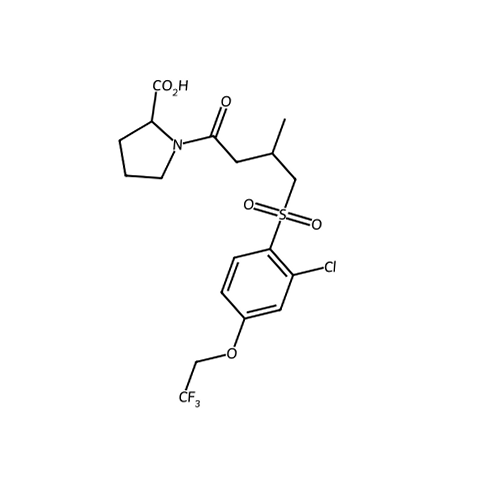 CC(CC(=O)N1CCCC1C(=O)O)CS(=O)(=O)c1ccc(OCC(F)(F)F)cc1Cl